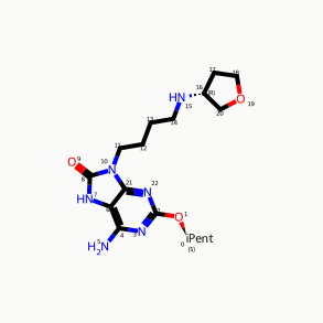 CCC[C@H](C)Oc1nc(N)c2[nH]c(=O)n(CCCCN[C@@H]3CCOC3)c2n1